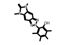 C=C1N(C)c2cc3nn(-c4c(C)c(C)c(C)c(C)c4O)nc3cc2N1C